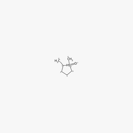 CC1CCC[SH]1(C)=O